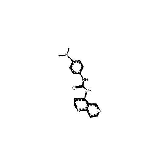 CN(C)c1ccc(NC(=O)Nc2ccnc3ccncc23)cc1